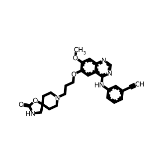 C#Cc1cccc(Nc2ncnc3cc(OC)c(OCCCN4CCC5(CC4)CNC(=O)O5)cc23)c1